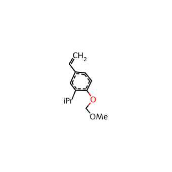 C=Cc1ccc(OCOC)c(C(C)C)c1